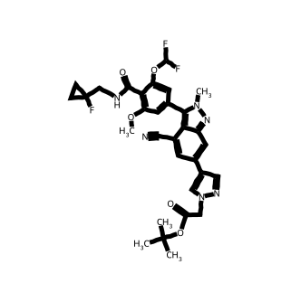 COc1cc(-c2c3c(C#N)cc(-c4cnn(CC(=O)OC(C)(C)C)c4)cc3nn2C)cc(OC(F)F)c1C(=O)NCC1(F)CC1